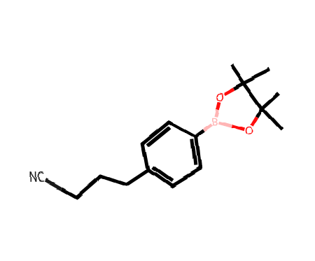 CC1(C)OB(c2ccc(CCCC#N)cc2)OC1(C)C